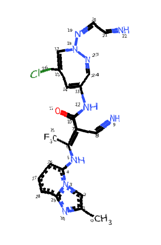 Cc1cn2c(N/C(=C(\C=N)C(=O)NC3=CC(Cl)=CN(/N=C\C=N)N=C3)C(F)(F)F)cccc2n1